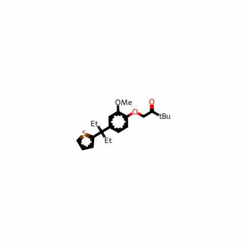 CCC(CC)(c1ccc(OCC(=O)C(C)(C)C)c(OC)c1)c1cccs1